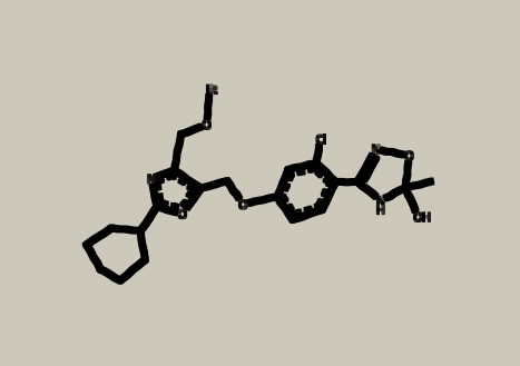 CCOCc1nc(C2CCCCC2)oc1COc1ccc(C2=NOC(C)(O)N2)c(Cl)c1